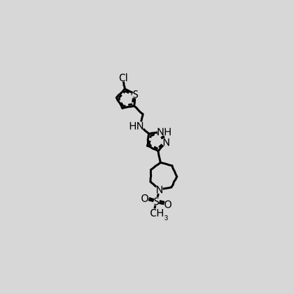 CS(=O)(=O)N1CCCC(c2cc(NCc3ccc(Cl)s3)[nH]n2)CC1